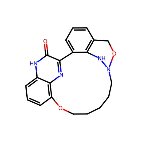 O=c1[nH]c2cccc3c2nc1-c1cccc2c1NN(CCCCCO3)OC2